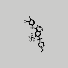 CCN1CCN(C(C)(C)c2cc3ncnc(Nc4ccc(F)c(Cl)c4)c3cc2NS(C)(=O)=O)CC1